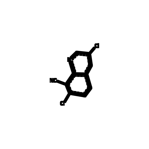 N#Cc1c(Cl)ccc2cc(Cl)cnc12